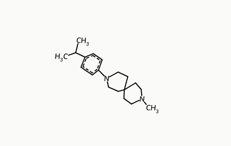 CC(C)c1ccc(N2CCC3(CCN(C)CC3)CC2)cc1